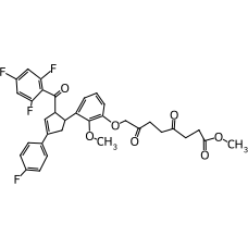 COC(=O)CCC(=O)CCC(=O)COc1cccc(C2CC(c3ccc(F)cc3)=CC2C(=O)c2c(F)cc(F)cc2F)c1OC